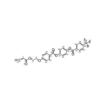 C=CC(=O)OCCOc1ccc(C(=O)Oc2ccc(OC(=O)c3ccc(C(F)(F)F)cc3)cc2)cc1